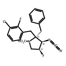 [N-]=[N+]=N[C@H]1[C@@H](F)CN(C(=O)O)[C@@]1(Cc1ccccc1)Cc1cccc(Cl)c1F